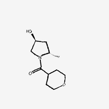 C[C@H]1C[C@H](O)CN1C(=O)C1CCOCC1